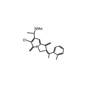 C=C1C2=CC(C(C)NC)=C(CC)C(=C)N2C/C1=C(\C)c1ccccc1C